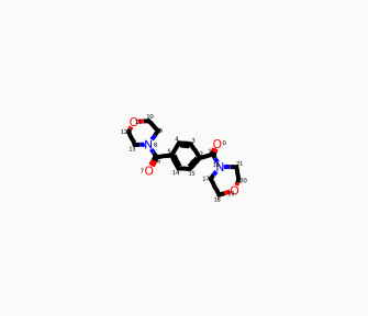 O=C(c1ccc(C(=O)N2CCOCC2)cc1)N1CCOCC1